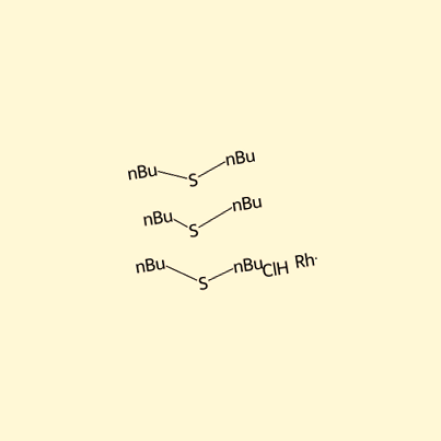 CCCCSCCCC.CCCCSCCCC.CCCCSCCCC.Cl.[Rh]